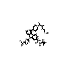 COCCN(C)C(=O)N1CCC(c2ncnc3c2c2ccc(S(=O)(=O)NC4(C#N)CC4)cc2n3-c2nnc(C(F)F)s2)CC1